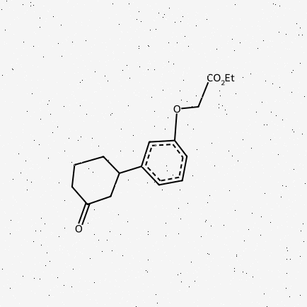 CCOC(=O)COc1cccc(C2CCCC(=O)C2)c1